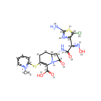 C[n+]1ccccc1SC1=C(C(=O)O)N2C(=O)[C@@H](NC(=O)/C(=N\O)c3nc(N)sc3Cl)C2CC1